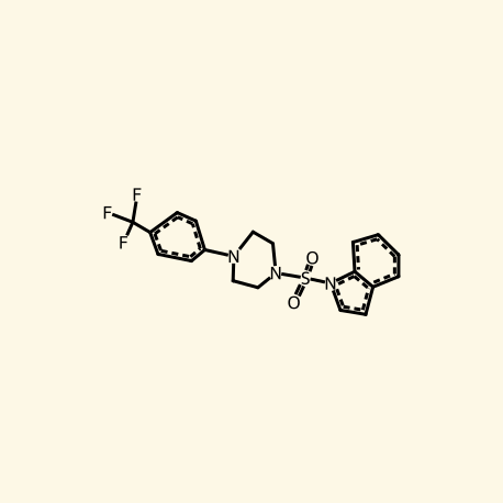 O=S(=O)(N1CCN(c2ccc(C(F)(F)F)cc2)CC1)n1ccc2ccccc21